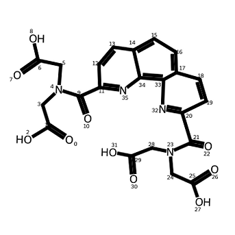 O=C(O)CN(CC(=O)O)C(=O)c1ccc2ccc3ccc(C(=O)N(CC(=O)O)CC(=O)O)nc3c2n1